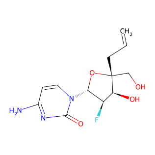 C=CC[C@]1(CO)O[C@@H](n2ccc(N)nc2=O)[C@H](F)[C@@H]1O